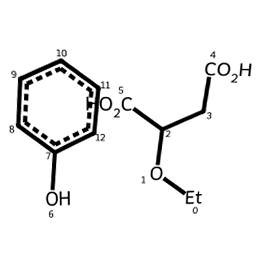 CCOC(CC(=O)O)C(=O)O.Oc1ccccc1